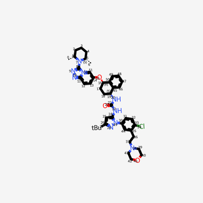 C[C@@H]1CCC[C@H](C)N1c1nnc2ccc(O[C@@H]3CC[C@H](NC(=O)Nc4cc(C(C)(C)C)nn4-c4ccc(Cl)c(CCN5CCOCC5)c4)c4ccccc43)cn12